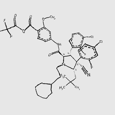 COc1cc(NC(=O)[C@H]2[C@H](c3cccc(Cl)c3F)[C@@](C#N)(c3ccc(Cl)cc3F)[C@H](CC(C)(C)C)N2CCC2CCCCC2)ccc1C(=O)OC(=O)C(F)(F)F